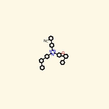 N#Cc1ccccc1-c1ccc(-c2nc(-c3ccc(-c4cccc(-c5ccccc5)c4)cc3)nc(-c3ccc4c(c3)oc3cccc(-c5ccccc5)c34)n2)cc1